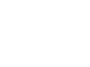 Cc1cccc(C([O])Cl)c1